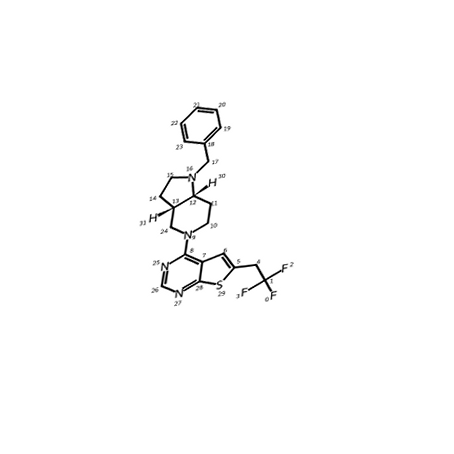 FC(F)(F)Cc1cc2c(N3CC[C@@H]4[C@@H](CCN4Cc4ccccc4)C3)ncnc2s1